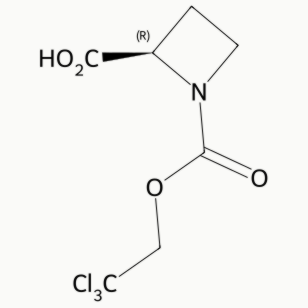 O=C(O)[C@H]1CCN1C(=O)OCC(Cl)(Cl)Cl